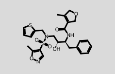 CC1=C(C(=O)N[C@@H](Cc2ccccc2)[C@H](O)CN(Cc2cccs2)S(=O)(=O)c2cnoc2C)COC1